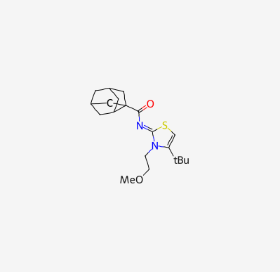 COCCn1c(C(C)(C)C)cs/c1=N\C(=O)C12CC3CC(CC1C3)C2